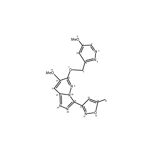 COc1cnnc(COc2nn3c(-c4cc(C)on4)nnc3cc2OC)c1